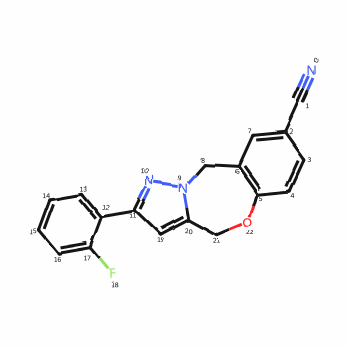 N#Cc1ccc2c(c1)Cn1nc(-c3ccccc3F)cc1CO2